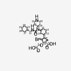 O=C(O)COc1c(C(=O)O)sc(-c2cccc(N(C(=O)NCc3ccccc3)C3CCNCC3)c2)c1Br